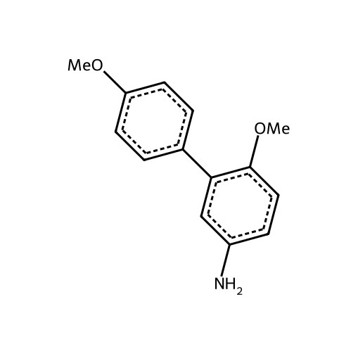 COc1ccc(-c2cc(N)ccc2OC)cc1